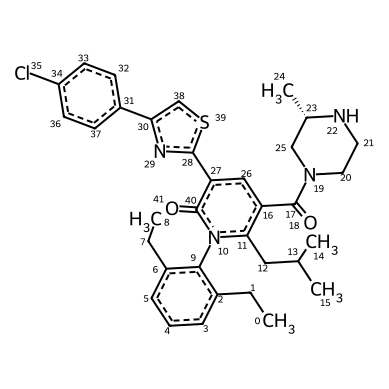 CCc1cccc(CC)c1-n1c(CC(C)C)c(C(=O)N2CCN[C@@H](C)C2)cc(-c2nc(-c3ccc(Cl)cc3)cs2)c1=O